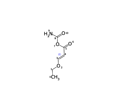 CCO/C=C/C(=O)OC(N)=O